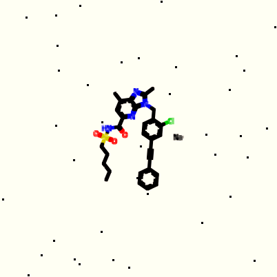 CCCCCS(=O)(=O)NC(=O)c1cc(C)c2nc(C)n(Cc3ccc(C#Cc4ccccc4)cc3Cl)c2n1.[Na]